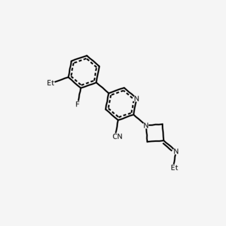 CCN=C1CN(c2ncc(-c3cccc(CC)c3F)cc2C#N)C1